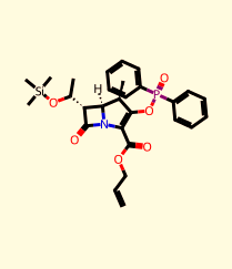 C=CCOC(=O)C1=C(OP(=O)(c2ccccc2)c2ccccc2)[C@H](C)[C@@H]2[C@@H](C(C)O[Si](C)(C)C)C(=O)N12